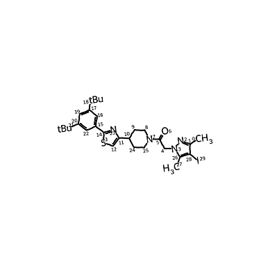 Cc1nn(CC(=O)N2CCC(c3csc(-c4cc(C(C)(C)C)cc(C(C)(C)C)c4)n3)CC2)c(C)c1I